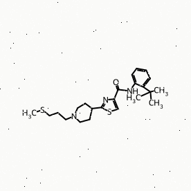 CSCCCN1CCC(c2nc(C(=O)Nc3ccccc3C(C)(C)C)cs2)CC1